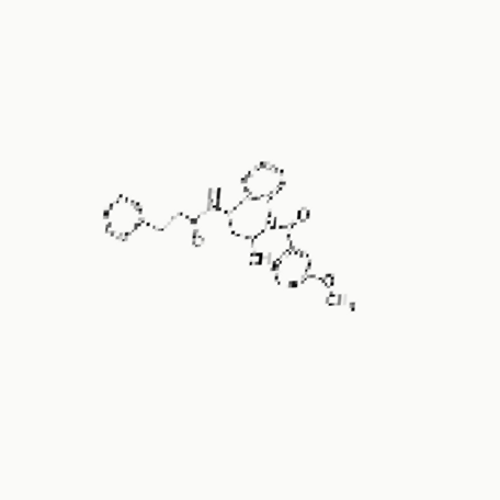 COc1cccc(C(=O)N2c3ccccc3C(NC(=O)CCc3ccccc3)CC2C)c1